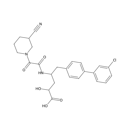 N#CC1CCCN(C(=O)C(=O)NC(Cc2ccc(-c3cccc(Cl)c3)cc2)CC(O)C(=O)O)C1